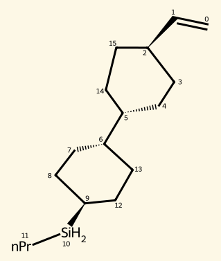 C=C[C@H]1CC[C@H]([C@H]2CC[C@H]([SiH2]CCC)CC2)CC1